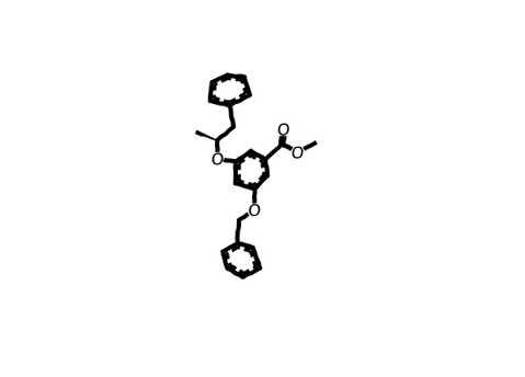 COC(=O)c1cc(OCc2ccccc2)cc(O[C@@H](C)Cc2ccccc2)c1